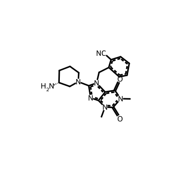 Cn1c(=O)c2c(nc(N3CCC[C@@H](N)C3)n2Cc2ccccc2C#N)n(C)c1=O